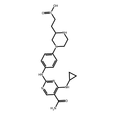 NC(=O)c1cnc(Nc2ccc(N3CCNC(CCS(=O)O)C3)cc2)nc1NC1CC1